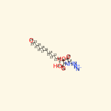 [N-]=[N+]=NCCC(NC(CCCCCCCCCCCCCCCC=O)C(=O)O)C(=O)O